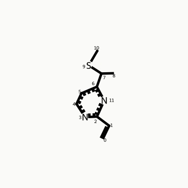 C=Cc1nccc(C(C)SC)n1